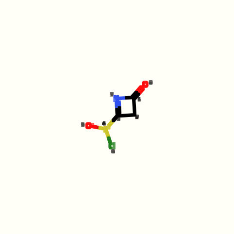 O=C1CC([S+]([O-])Cl)=N1